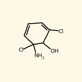 NC1(Cl)C=CC=C(Cl)C1O